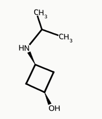 CC(C)N[C@H]1C[C@@H](O)C1